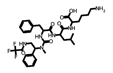 CC(C)CC(NC(=O)C(Cc1ccccc1)NC(=O)N(C)C(CNC(=O)C(F)(F)F)c1ccccc1)C(=O)NC(CCCCN)C(=O)O